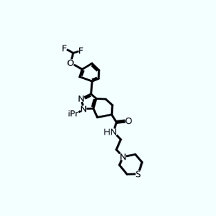 CC(C)n1nc(-c2cccc(OC(F)F)c2)c2c1CC(C(=O)NCCN1CCSCC1)CC2